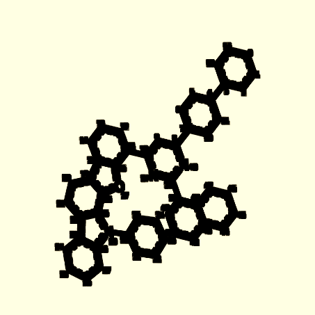 c1ccc(-c2ccc(-c3cc(-c4cccc5c4oc4c5ccc5c6ccccc6n(-c6ccccc6)c54)nc(-c4cccc5ccccc45)n3)cc2)cc1